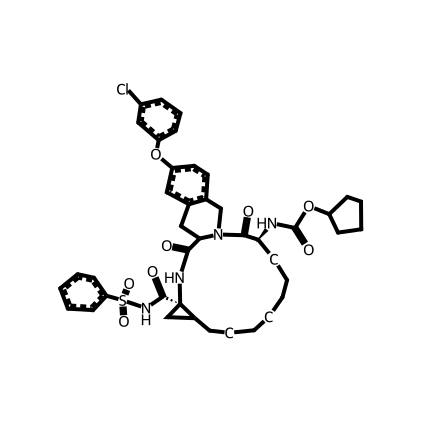 O=C(N[C@H]1CCCCCCCC2C[C@@]2(C(=O)NS(=O)(=O)c2ccccc2)NC(=O)C2Cc3cc(Oc4cccc(Cl)c4)ccc3CN2C1=O)OC1CCCC1